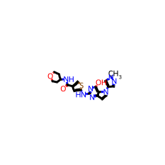 Cn1cc(-n2ccc3nc(Nc4cc(C(=O)NC5CCOCC5)cs4)nc(O)c32)cn1